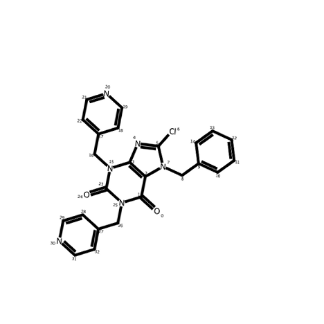 O=c1c2c(nc(Cl)n2Cc2ccccc2)n(Cc2ccncc2)c(=O)n1Cc1ccncc1